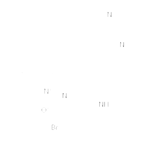 CN1C=C(c2ccc3c(c2)[N+]([O-])(N2C=CNC=C2Br)CC3(C)C)C=NC1